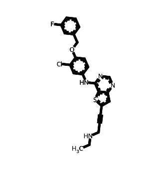 CCNCC#Cc1cc2ncnc(Nc3ccc(OCc4cccc(F)c4)c(Cl)c3)c2s1